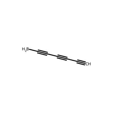 BC#CC#CC#C